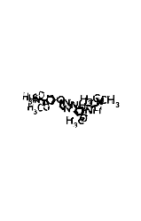 CNC(=O)c1c(C)oc2cc(Oc3ccnc(Nc4ccc(OC)c(NC(=O)CN(C)C)c4)n3)ccc12